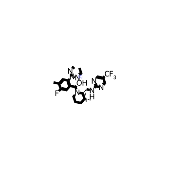 C=NN(/N=C\C)c1cc(C)c(F)cc1C(O)N1CCC[C@@H](C)[C@H]1CNc1ncc(C(F)(F)F)cn1